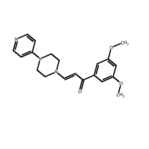 COc1cc(OC)cc(C(=O)C=CN2CCN(c3ccncc3)CC2)c1